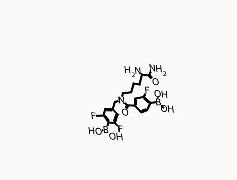 NC(=O)C(N)CCCCN(Cc1cc(F)c(B(O)O)c(F)c1)C(=O)c1ccc(B(O)O)c(F)c1